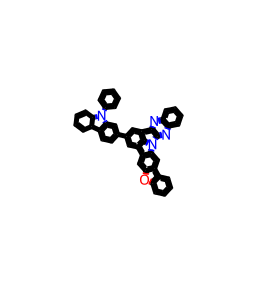 C1=CC2c3ccc(-c4cc5c6cc7oc8ccccc8c7cc6n6c7nc8ccccc8nc7c(c4)c56)cc3N(c3ccccc3)C2C=C1